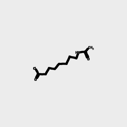 CC(=O)NCCCCCCCC(=O)Cl